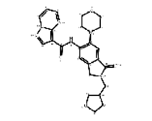 O=C(Nc1cc2c(cc1N1CCOCC1)C(=O)N(CC1CCOC1)C2)c1cnn2cccnc12